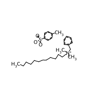 CCCCCCCCCCCC[N+](C)(C)Cc1ccccc1.Cc1ccc(S(=O)(=O)[O-])cc1